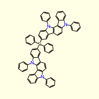 c1ccc(-n2c3ccccc3c3c2ccc2c4cc([Si](c5ccccc5)(c5ccccc5)c5ccc6c(c5)c5ccc7c(c8ccccc8n7-c7ccccc7)c5n6-c5ccccc5)ccc4n(-c4ccccc4)c23)cc1